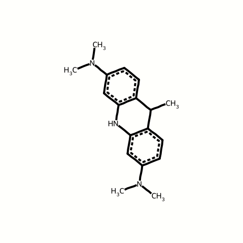 CC1c2ccc(N(C)C)cc2Nc2cc(N(C)C)ccc21